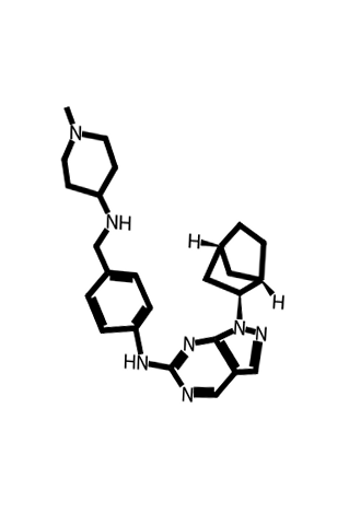 CN1CCC(NCc2ccc(Nc3ncc4cnn([C@H]5C[C@@H]6CC[C@H]5C6)c4n3)cc2)CC1